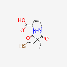 CCC1(CCS)C(=O)N2CC=CC(C(=O)O)N2C1=O